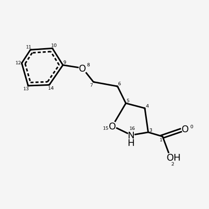 O=C(O)C1CC(CCOc2ccccc2)ON1